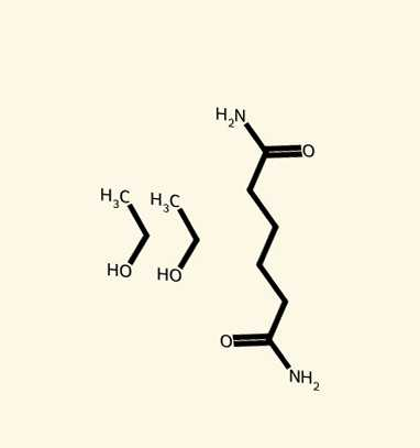 CCO.CCO.NC(=O)CCCCC(N)=O